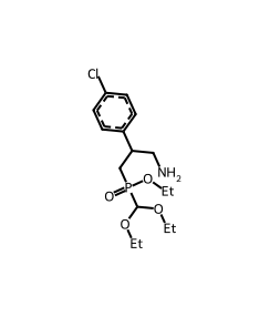 CCOC(OCC)P(=O)(CC(CN)c1ccc(Cl)cc1)OCC